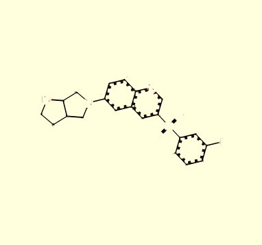 O=S(=O)(c1cccc(F)c1)c1cnc2ccc(N3CC4CCNC4C3)cc2c1